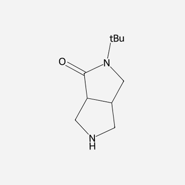 CC(C)(C)N1CC2CNCC2C1=O